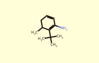 CC1CC=CC(N)=C1C(C)(C)C